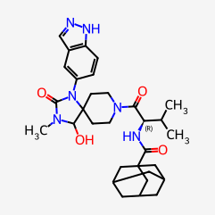 CC(C)[C@@H](NC(=O)C12CC3CC(CC(C3)C1)C2)C(=O)N1CCC2(CC1)C(O)N(C)C(=O)N2c1ccc2[nH]ncc2c1